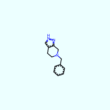 c1ccc(CN2CCc3c[nH]nc3C2)cc1